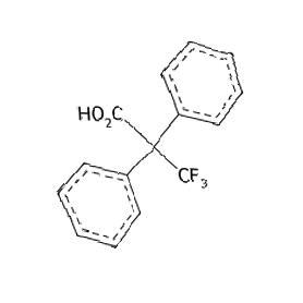 O=C(O)C(c1ccccc1)(c1ccccc1)C(F)(F)F